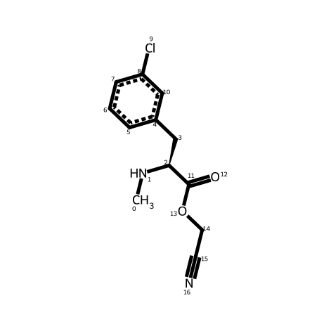 CN[C@@H](Cc1cccc(Cl)c1)C(=O)OCC#N